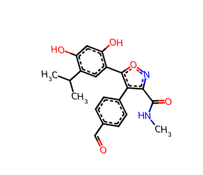 CNC(=O)c1noc(-c2cc(C(C)C)c(O)cc2O)c1-c1ccc(C=O)cc1